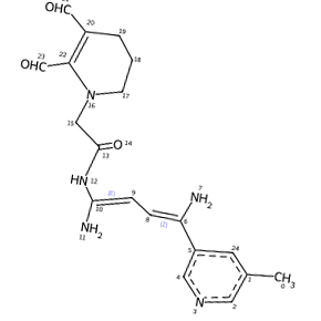 Cc1cncc(/C(N)=C/C=C(\N)NC(=O)CN2CCCC(C=O)=C2C=O)c1